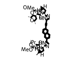 COC(=O)NC(C(=O)N1[C@@H]2C[C@@H]2C[C@H]1c1ncc(C#Cc2ccc3cc(-c4cnc([C@@H]5C[C@H]6[C@@H](C)[C@H]6N5C(=O)[C@@H](NC(=O)OC)C(C)C)[nH]4)ccc3c2)[nH]1)[C@H]1C[C@@H](C)O[C@@H](C)C1